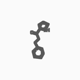 O=C(CCc1ccccc1)c1ccc[nH]1